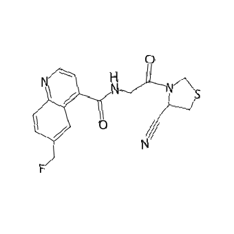 N#CC1CSCN1C(=O)CNC(=O)c1ccnc2ccc(CF)cc12